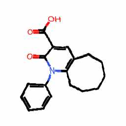 O=C(O)c1cc2c(n(-c3ccccc3)c1=O)CCCCCC2